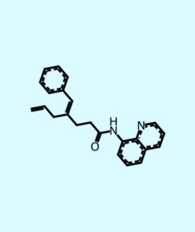 C=CCC(=Cc1ccccc1)CCC(=O)Nc1cccc2cccnc12